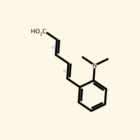 CN(C)c1ccccc1/C=C/C=C/C(=O)O